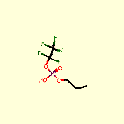 CCCOP(=O)(O)OC(F)(F)C(F)(F)F